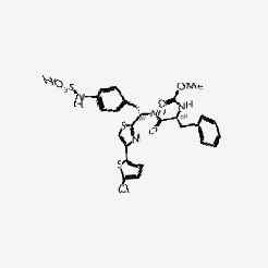 COC(=O)N[C@@H](Cc1ccccc1)C(=O)N[C@@H](Cc1ccc(NS(=O)(=O)O)cc1)c1nc(-c2ccc(Cl)s2)cs1